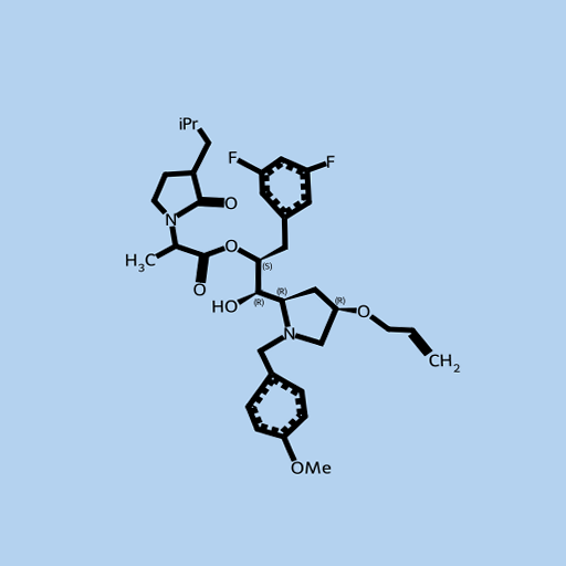 C=CCO[C@@H]1C[C@H]([C@@H](O)[C@H](Cc2cc(F)cc(F)c2)OC(=O)C(C)N2CCC(CC(C)C)C2=O)N(Cc2ccc(OC)cc2)C1